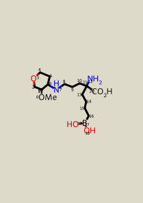 CO[C@H]1COCCC1NCCCC(N)(CCCCB(O)O)C(=O)O